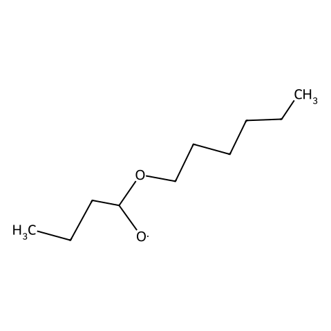 CCCCCCOC([O])CCC